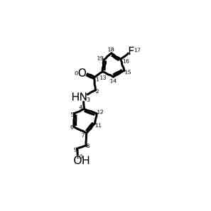 O=C(CNc1ccc(CCO)cc1)c1ccc(F)cc1